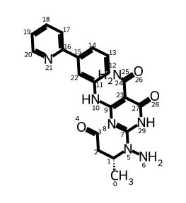 C[C@H](CC=O)N(N)c1nc(Nc2cccc(-c3ccccn3)c2)c(C(N)=O)c(=O)[nH]1